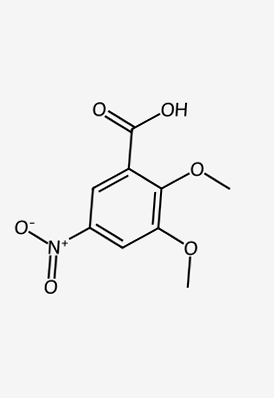 COc1cc([N+](=O)[O-])cc(C(=O)O)c1OC